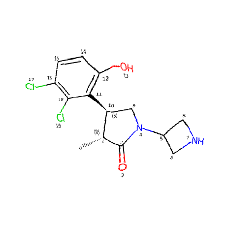 C[C@H]1C(=O)N(C2CNC2)C[C@@H]1c1c(O)ccc(Cl)c1Cl